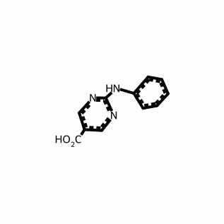 O=C(O)c1cnc(Nc2ccccc2)nc1